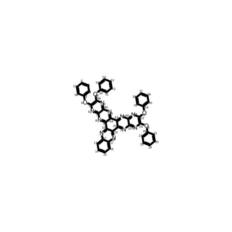 c1ccc(Oc2nc3nc4c5nc6ccccc6nc5c5nc6nc(Oc7ccccc7)c(Oc7ccccc7)nc6nc5c4nc3nc2Oc2ccccc2)cc1